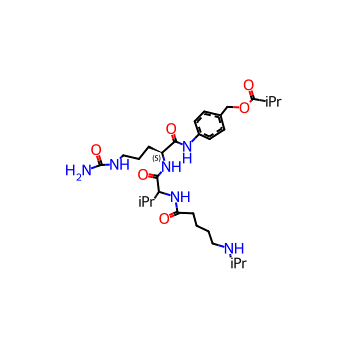 CC(C)NCCCCC(=O)NC(C(=O)N[C@@H](CCCNC(N)=O)C(=O)Nc1ccc(COC(=O)C(C)C)cc1)C(C)C